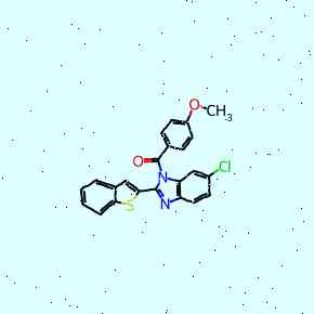 COc1ccc(C(=O)n2c(-c3cc4ccccc4s3)nc3ccc(Cl)cc32)cc1